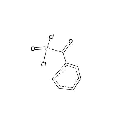 O=C(c1ccccc1)P(=O)(Cl)Cl